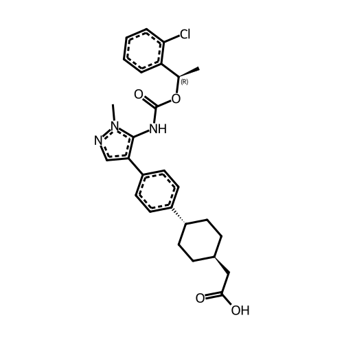 C[C@@H](OC(=O)Nc1c(-c2ccc([C@H]3CC[C@H](CC(=O)O)CC3)cc2)cnn1C)c1ccccc1Cl